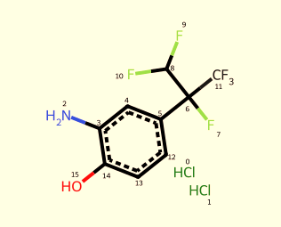 Cl.Cl.Nc1cc(C(F)(C(F)F)C(F)(F)F)ccc1O